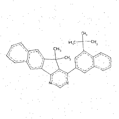 CC(C)(C)c1cc(-c2ncnc3c2C(C)(C)c2cc4ccccc4cc2-3)cc2ccccc12